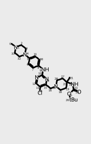 CN1CCN(c2ccc(Nc3ncc(Cl)c(CN4CCC(C)(NC(=O)OC(C)(C)C)CC4)n3)cc2)CC1